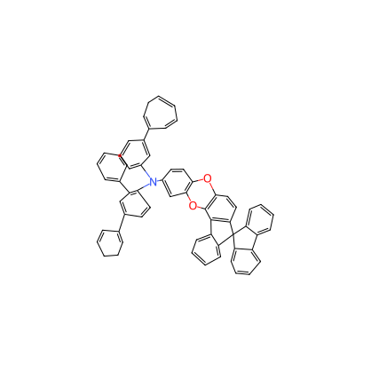 C1=CCC=C(c2cccc(N(c3ccc4c(c3)Oc3c(ccc5c3-c3ccccc3C53c5ccccc5-c5ccccc53)O4)c3ccc(C4=CCCC=C4)cc3-c3ccccc3)c2)C=C1